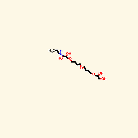 CCCNC(O)C(O)COCCCCOCCCCOCC(O)CO